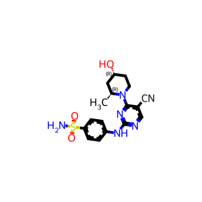 C[C@@H]1C[C@H](O)CCN1c1nc(Nc2ccc(S(N)(=O)=O)cc2)ncc1C#N